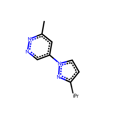 Cc1cc(-n2ccc(C(C)C)n2)cnn1